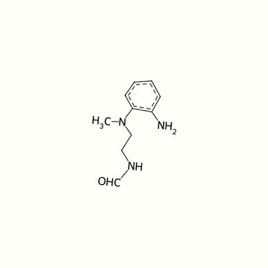 CN(CCNC=O)c1ccccc1N